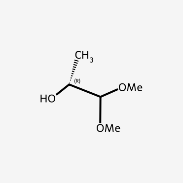 COC(OC)[C@@H](C)O